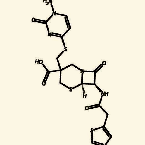 Nn1ccc(SCC2(C(=O)O)CS[C@@H]3[C@H](NC(=O)Cc4cccs4)C(=O)N3C2)nc1=O